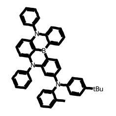 Cc1ccccc1N(c1ccc(C(C)(C)C)cc1)c1ccc2c(c1)N(c1ccccc1)c1cccc3c1B2c1ccccc1N3c1ccccc1